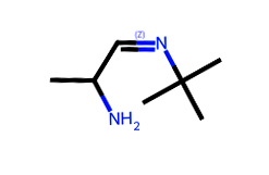 CC(N)/C=N\C(C)(C)C